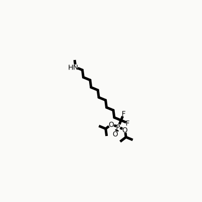 CNCCCCCCCCCCC(F)(F)P(=O)(OC(C)C)OC(C)C